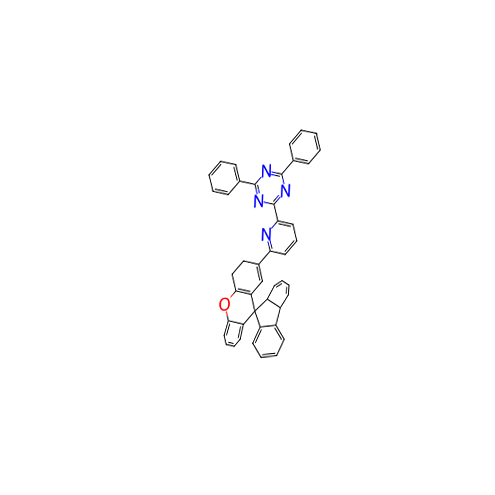 C1=CC2c3ccccc3C3(C4=C(CCC(c5cccc(-c6nc(-c7ccccc7)nc(-c7ccccc7)n6)n5)=C4)Oc4ccccc43)C2C=C1